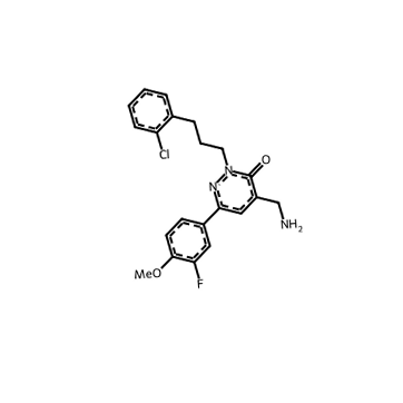 COc1ccc(-c2cc(CN)c(=O)n(CCCc3ccccc3Cl)n2)cc1F